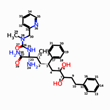 C[C@H](C[C@@H](CC(O)C(O)CCc1ccccc1)c1ccccc1)[C@](N)(NC(=O)N(C)Cc1ccccn1)C(N)=O